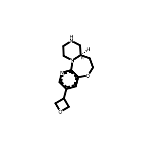 c1nc2c(cc1C1COC1)OCC[C@@H]1CNCCN21